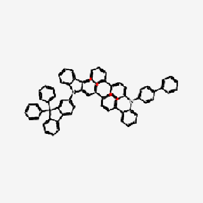 c1ccc(-c2ccc(N(c3ccc(-c4ccccc4)cc3)c3ccccc3-c3ccc(-c4ccc5c6ccccc6n(-c6ccc7c(c6)C(c6ccccc6)(c6ccccc6)c6ccccc6-7)c5c4)cc3)cc2)cc1